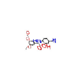 CCOc1cc(OCCOC)cc(C(Nc2ccc(C#N)cc2)C(=O)O)c1